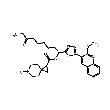 CCC(=O)CCCCC[C@H](NC(=O)[C@H]1CC12CCN(C)CC2)c1nnc(-c2cc3ccccc3nc2OC)o1